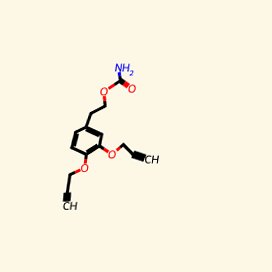 C#CCOc1ccc(CCOC(N)=O)cc1OCC#C